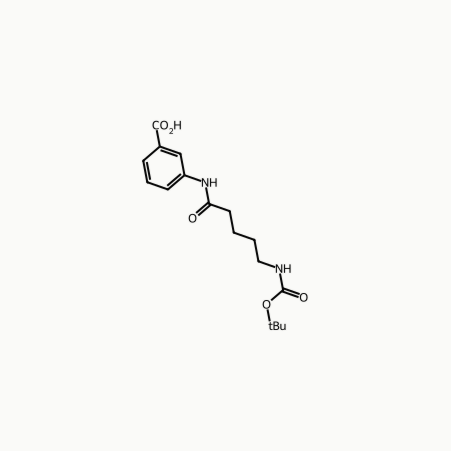 CC(C)(C)OC(=O)NCCCCC(=O)Nc1cccc(C(=O)O)c1